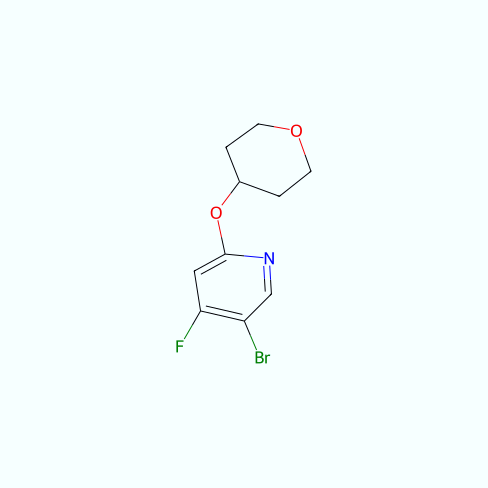 Fc1cc(OC2CCOCC2)ncc1Br